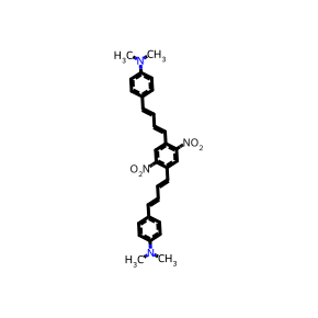 CN(C)c1ccc(C=CC=Cc2cc([N+](=O)[O-])c(C=CC=Cc3ccc(N(C)C)cc3)cc2[N+](=O)[O-])cc1